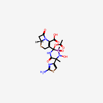 CC(=O)OC1(C2=C(C(=O)O)N3C(=O)C[C@H]3SC2)NC(=O)C(C)(c2csc(N)n2)N(O)P1(C)=O